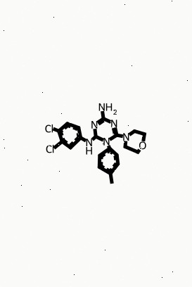 Cc1ccc(N2C(N3CCOCC3)=NC(N)=NC2Nc2ccc(Cl)c(Cl)c2)cc1